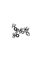 CC(C)[C@]1(C(=O)NCc2cc(C(F)(F)F)ccc2SSc2ccccc2[N+](=O)[O-])CC[C@@H](N(C(=O)C(F)(F)F)C2CCOCC2)C1